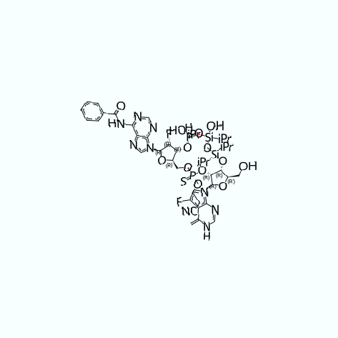 C=C1NC=Nc2c1c(F)cn2[C@@H]1O[C@H](CO)[C@@H](O[Si](O[Si](O)(C(C)C)C(C)C)(C(C)C)C(C)C)[C@H]1OP(=S)(OCCC#N)OC[C@H]1O[C@@H](n2cnc3c(NC(=O)c4ccccc4)ncnc32)[C@H](F)[C@@H]1O[PH](=O)O